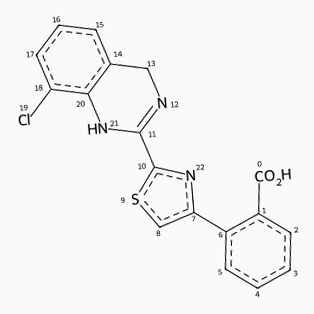 O=C(O)c1ccccc1-c1csc(C2=NCc3cccc(Cl)c3N2)n1